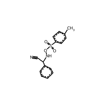 Cc1ccc(S(=O)(=O)ONC(C#N)c2ccccc2)cc1